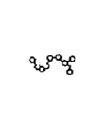 C1=CC2c3cc(-c4cccc(-c5ccc6ccc7ccc(-c8ccccc8)nc7c6n5)c4)ccc3SC2c2c1c(-c1ccccc1)nc1ccccc21